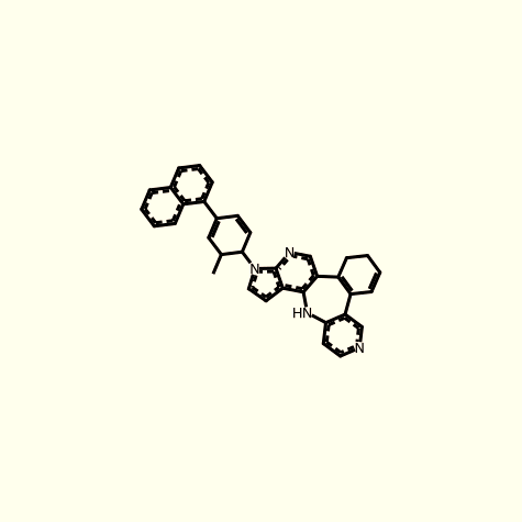 CC1C=C(c2cccc3ccccc23)C=CC1n1ccc2c3c(cnc21)C1=C(C=CCC1)c1cnccc1N3